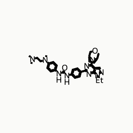 CCn1ncc2c(N3C4CCC3COC4)nc(-c3ccc(NC(=O)Nc4ccc(N(C)CCN(C)C)cc4)cc3)nc21